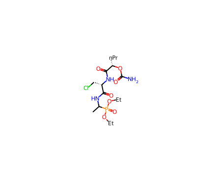 CCC[C@H](OC(N)=O)C(=O)N[C@@H](CCl)C(=O)NC(C)P(=O)(OCC)OCC